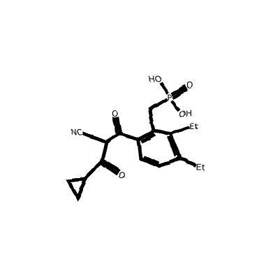 CCc1ccc(C(=O)C(C#N)C(=O)C2CC2)c(CP(=O)(O)O)c1CC